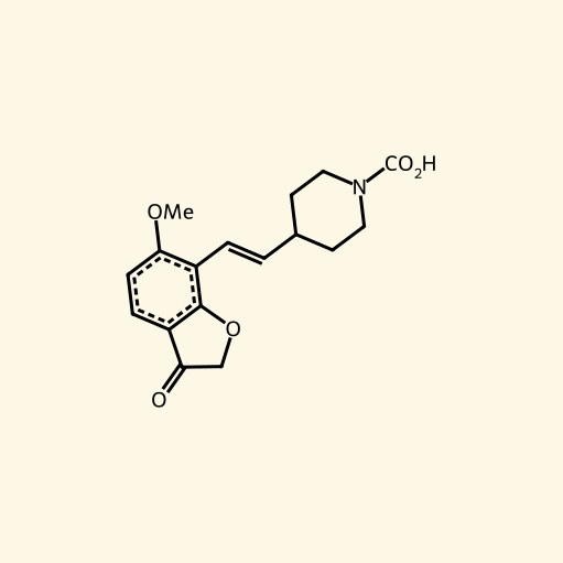 COc1ccc2c(c1C=CC1CCN(C(=O)O)CC1)OCC2=O